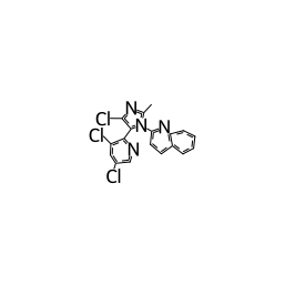 Cc1nc(Cl)c(-c2ncc(Cl)cc2Cl)n1-c1ccc2ccccc2n1